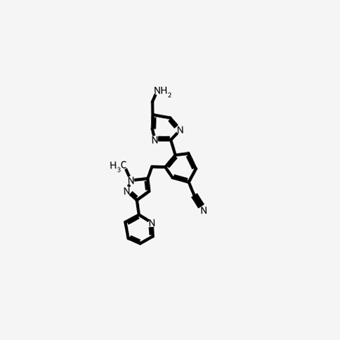 Cn1nc(-c2ccccn2)cc1Cc1cc(C#N)ccc1-c1ncc(CN)cn1